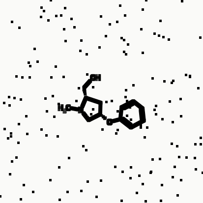 CN1C[C@@H](Oc2ccccc2)C[C@H]1CO